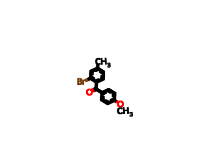 COc1ccc(C(=O)c2ccc(C)cc2Br)cc1